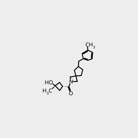 Cc1cccc(CC2CCC3(C2)CN(C(=O)[C@H]2C[C@@](C)(O)C2)C3)c1